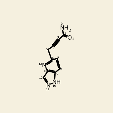 NC(=O)C#CCc1ccc2[nH]ncc2n1